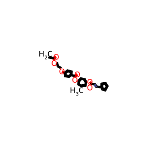 C=CC(=O)OCCCOc1ccc(C(=O)OC2=CC=C(OC(=O)/C=C/c3ccccc3)C=C(C)C2)cc1